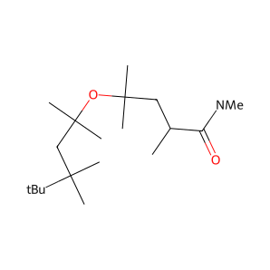 CNC(=O)C(C)CC(C)(C)OC(C)(C)CC(C)(C)C(C)(C)C